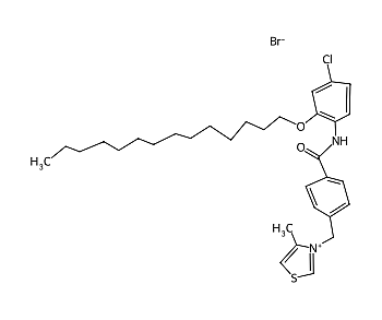 CCCCCCCCCCCCCCOc1cc(Cl)ccc1NC(=O)c1ccc(C[n+]2cscc2C)cc1.[Br-]